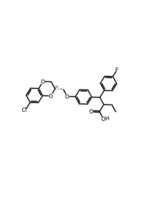 CCC(C(=O)O)C(c1ccc(F)cc1)c1ccc(OC[C@H]2COc3ccc(Cl)cc3O2)cc1